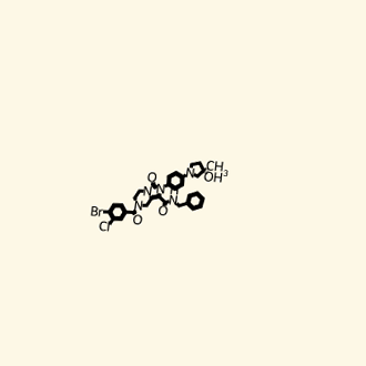 C[C@]1(O)CCN(c2ccc(-n3c(C(=O)NCc4ccccc4)c4n(c3=O)CCN(C(=O)c3ccc(Br)c(Cl)c3)C4)cc2)C1